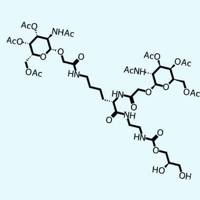 CC(=O)N[C@H]1[C@H](OCC(=O)NCCCC[C@H](NC(=O)CO[C@@H]2O[C@H](COC(C)=O)[C@H](OC(C)=O)[C@H](OC(C)=O)[C@H]2NC(C)=O)C(=O)NCCNC(=O)OC[C@H](O)CO)O[C@H](COC(C)=O)[C@H](OC(C)=O)[C@@H]1OC(C)=O